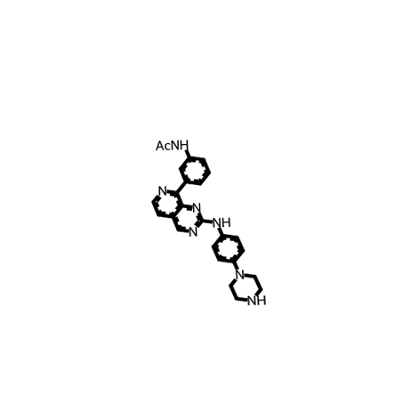 CC(=O)Nc1cccc(-c2nccc3cnc(Nc4ccc(N5CCNCC5)cc4)nc23)c1